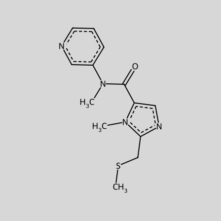 CSCc1ncc(C(=O)N(C)c2cccnc2)n1C